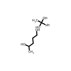 CC(O)CCCO.CCCC(C)(O)O